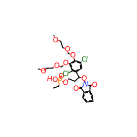 CCP(=O)(O)OCCC(ON1C(=O)c2ccccc2C1=O)c1cc(Cl)c(OCOCCOC)c(OCOCCOC)c1Cl